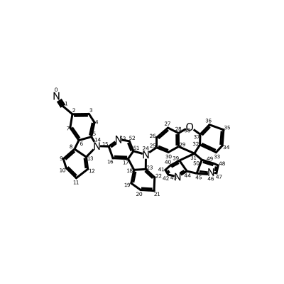 N#Cc1ccc2c(c1)c1ccccc1n2-c1cc2c3ccccc3n(-c3ccc4c(c3)C3(c5ccccc5O4)c4cccnc4-c4ncccc43)c2cn1